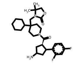 CC1(C)COC(=O)N1CC1(C2CCCCC2)CCN(C(=O)[C@@H]2CC(N)CC2c2ccc(F)cc2F)CC1